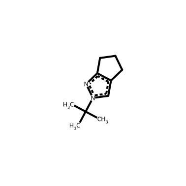 CC(C)(C)n1cc2c(n1)CCC2